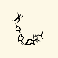 CC(=O)N[C@@H](C)c1ccc(OC2CCN(c3ccc(OCC(C)(F)F)cc3)C2)cc1